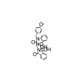 COc1ccc(CN(C(=O)CCN2C(=O)c3ccccc3S2(O)O)c2ccccc2O)cc1